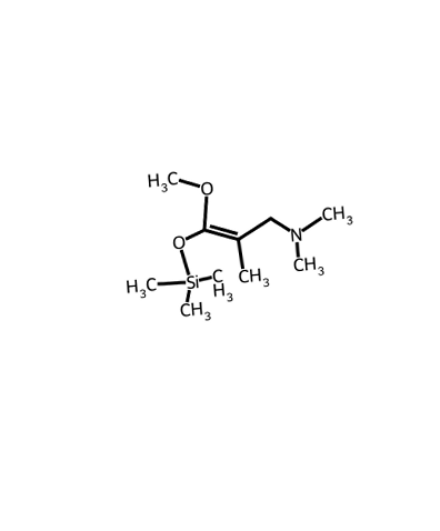 COC(O[Si](C)(C)C)=C(C)CN(C)C